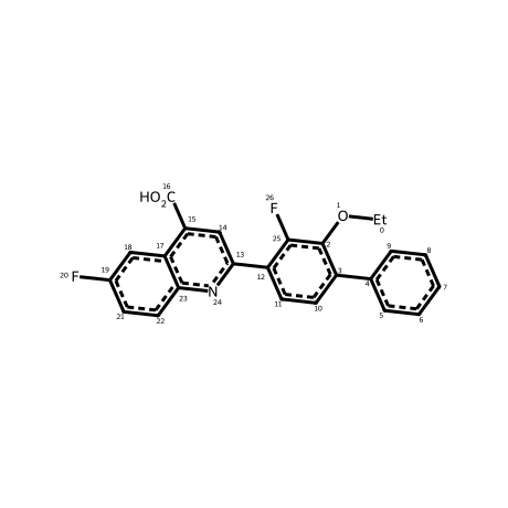 CCOc1c(-c2ccccc2)ccc(-c2cc(C(=O)O)c3cc(F)ccc3n2)c1F